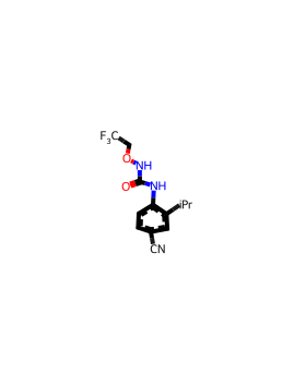 CC(C)c1cc(C#N)ccc1NC(=O)NOCC(F)(F)F